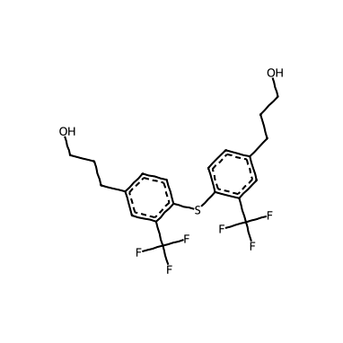 OCCCc1ccc(Sc2ccc(CCCO)cc2C(F)(F)F)c(C(F)(F)F)c1